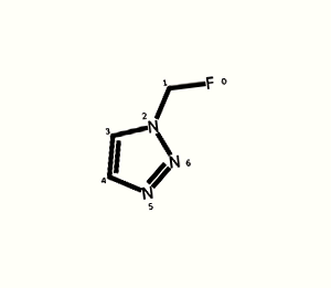 FCn1ccnn1